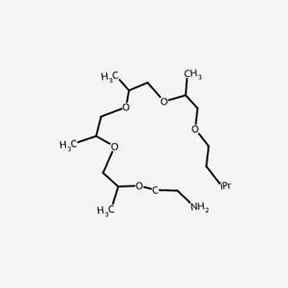 CC(C)CCOCC(C)OCC(C)OCC(C)OCC(C)OCCN